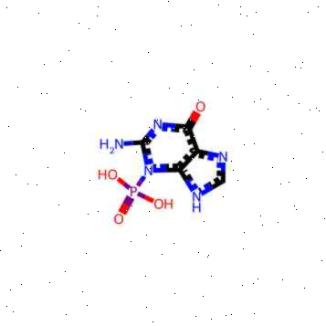 Nc1nc(=O)c2nc[nH]c2n1P(=O)(O)O